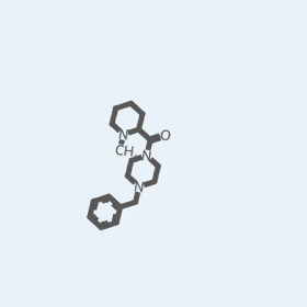 CN1CCCCC1C(=O)N1CCN(Cc2ccccc2)CC1